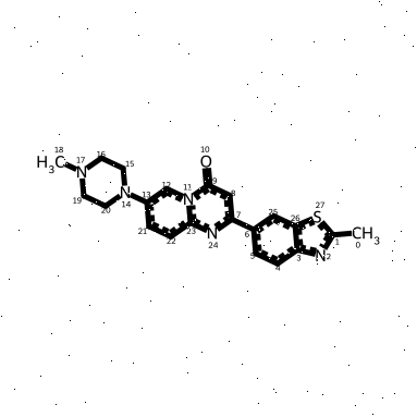 Cc1nc2ccc(-c3cc(=O)n4cc(N5CCN(C)CC5)ccc4n3)cc2s1